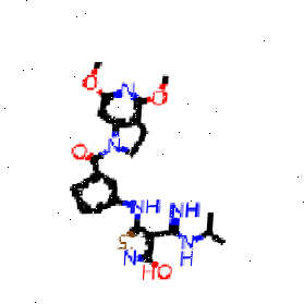 COc1cc2c(c(OC)n1)CCN2C(=O)c1cccc(Nc2snc(O)c2C(=N)NC(C)C)c1